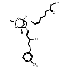 CB1O[C@H]2C[C@@H](O1)[C@H](/C=C/[C@@H](O)COc1cccc(C(F)(F)F)c1)[C@H]2C/C=C\CCCC(=O)OC(C)C